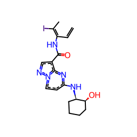 C=C/C(NC(=O)c1cnn2ccc(N[C@@H]3CCCC[C@@H]3O)nc12)=C(\C)I